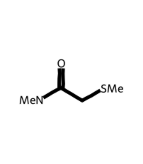 CNC(=O)CSC